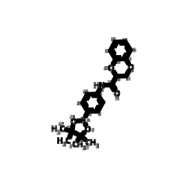 CC1(C)OB(c2ccc(NC(=O)C3COc4ccccc4O3)cc2)OC1(C)C